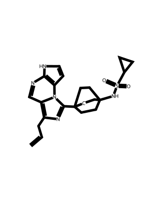 C=CCc1nc(C23CCC(NS(=O)(=O)C4CC4)(CC2)CC3)n2c1cnc1[nH]ccc12